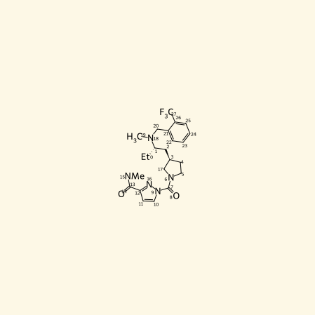 CC[C@@H](C[C@H]1CCN(C(=O)n2ccc(C(=O)NC)n2)C1)N(C)Cc1ccccc1C(F)(F)F